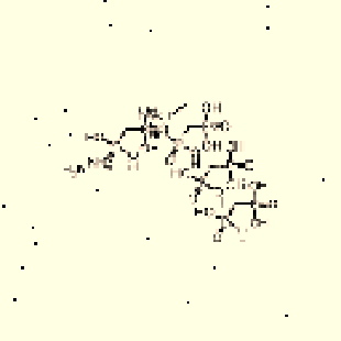 CCCCCC.N.N.O=P(O)(O)CP(=O)(O)O.O=P(O)(O)CP(=O)(O)O.O=P(O)(O)CP(=O)(O)O.O=P(O)(O)CP(=O)(O)O